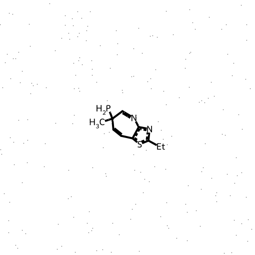 CCc1nc2c(s1)C=CC(C)(P)C=N2